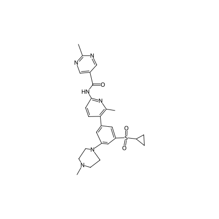 Cc1ncc(C(=O)Nc2ccc(-c3cc(N4CCN(C)CC4)cc(S(=O)(=O)C4CC4)c3)c(C)n2)cn1